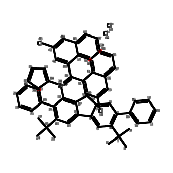 CC(C)(C)c1cc2c(cc1-c1ccccc1)Cc1c-2cc(C(C)(C)C)c(-c2ccccc2)[c]1[Zr+2]([C]1=CC=CC1)=[C](c1cc(Cl)cc2ccccc12)c1cc(Cl)cc2ccccc12.[Cl-].[Cl-]